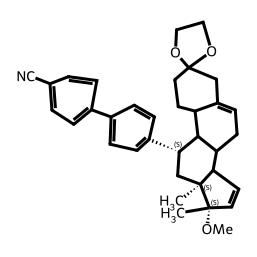 CO[C@@]1(C)C=CC2C3CC=C4CC5(CCC4C3[C@@H](c3ccc(-c4ccc(C#N)cc4)cc3)C[C@@]21C)OCCO5